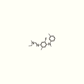 CCN(C)C=Nc1cc(F)c(N(C)c2cccc(C)c2)cc1C